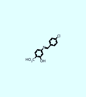 O=C(O)c1ccc(N=Cc2ccc(Cl)cc2)cc1O